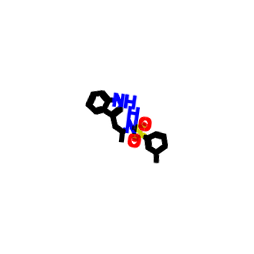 CC1C=C(S(=O)(=O)NC(C)Cc2c[nH]c3ccccc23)C=CC1